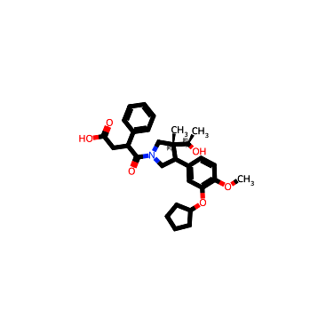 COc1ccc(C2CN(C(=O)C(CC(=O)O)c3ccccc3)C[C@]2(C)[C@@H](C)O)cc1OC1CCCC1